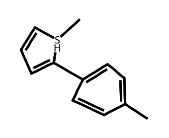 Cc1ccc(C2=CC=C[SH]2C)cc1